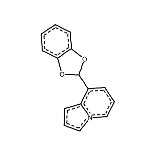 c1ccc2c(c1)O[C](c1cccn3cccc13)O2